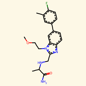 COCCn1c(CNC(C)C(N)=O)nc2ccc(-c3ccc(F)c(C)c3)cc21